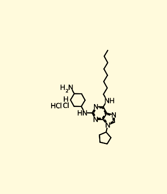 CCCCCCCCNc1nc(NC2CCC(N)CC2)nc2c1ncn2C1CCCC1.Cl.Cl